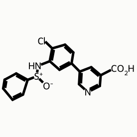 O=C(O)c1cncc(-c2ccc(Cl)c(N[S+]([O-])c3ccccc3)c2)c1